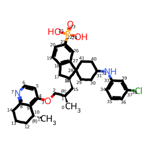 C[C@@H](COc1ccnc2c1[C@H](C)CCC2)C[C@H]1Cc2ccc(P(=O)(O)O)cc2C12CCC(Nc1cccc(Cl)c1)CC2